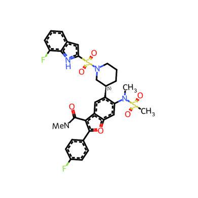 CNC(=O)c1c(-c2ccc(F)cc2)oc2cc(N(C)S(C)(=O)=O)c([C@@H]3CCCN(S(=O)(=O)c4cc5cccc(F)c5[nH]4)C3)cc12